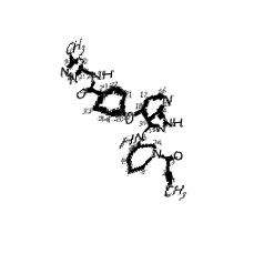 CC#CC(=O)N1CCC[C@@H](Nc2n[nH]c3nccc(Oc4ccc(C(=O)Nc5nnc(C)s5)cc4)c23)C1